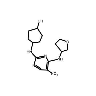 O=[N+]([O-])c1cnc(NC2CCC(O)CC2)nc1NC1CCOC1